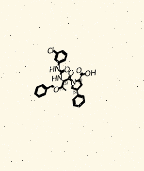 C[C@@H](OCc1ccccc1)[C@H](NC(=O)Nc1cccc(Cl)c1)C(=O)N1C[C@H](c2ccccc2)C[C@@H]1C(=O)O